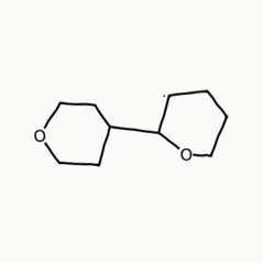 [CH]1CCCOC1C1CCOCC1